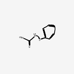 [NH]C(=O)NSc1ccccc1